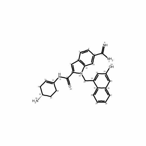 N=C(N)c1ccc2cc(C(=O)NC3=CC[C@@H](N)CC3)n(Cc3cc(O)cc4ccccc34)c2c1